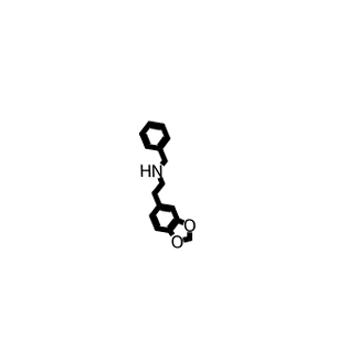 c1ccc(CNCCc2ccc3c(c2)OCO3)cc1